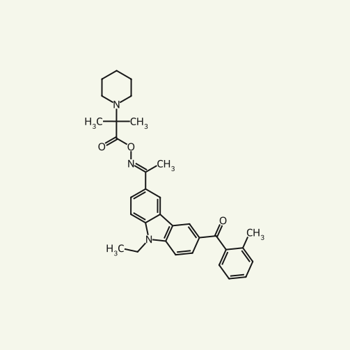 CCn1c2ccc(C(=O)c3ccccc3C)cc2c2cc(/C(C)=N/OC(=O)C(C)(C)N3CCCCC3)ccc21